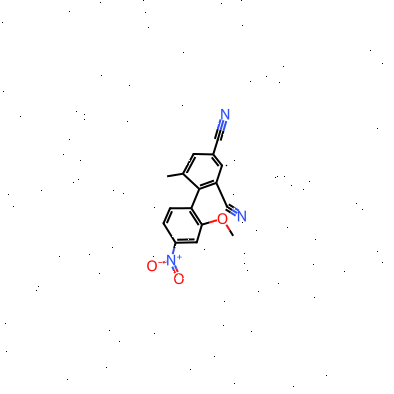 COc1cc([N+](=O)[O-])ccc1-c1c(C#N)[c]c(C#N)cc1C